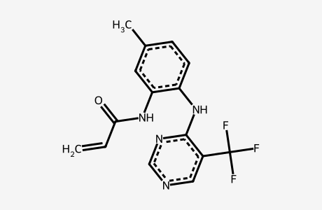 C=CC(=O)Nc1cc(C)ccc1Nc1ncncc1C(F)(F)F